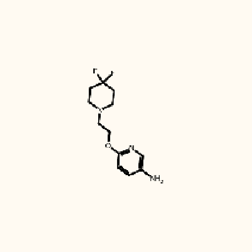 Nc1ccc(OCCN2CCC(F)(F)CC2)nc1